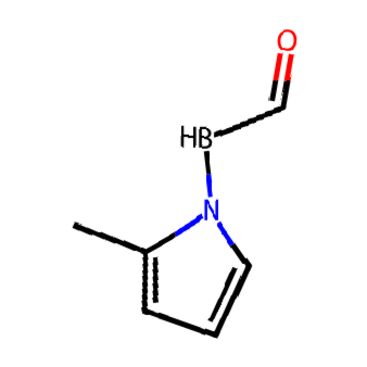 Cc1cccn1BC=O